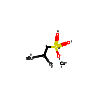 CCCCC(CC)CS(=O)(=O)[O-].[Cu+]